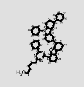 C/C=C\C=C/Cc1nc(-c2ccccc2)nc(-c2cccc3c2oc2c(-c4ccc5c(c4)c4cc(-c6ccccc6)ccc4n5-c4ccccc4)cccc23)n1